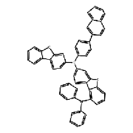 c1ccc(N(c2ccccc2)c2cccc3sc4cc(N(c5ccc(-c6ccc7ccccc7c6)cc5)c5ccc6c(c5)oc5ccccc56)ccc4c23)cc1